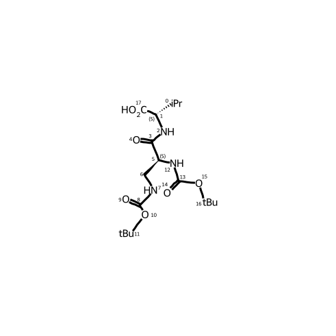 CC(C)[C@H](NC(=O)[C@H](CNC(=O)OC(C)(C)C)NC(=O)OC(C)(C)C)C(=O)O